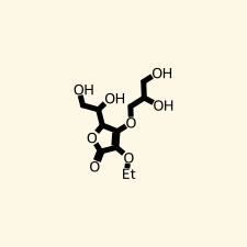 CCOC1=C(OCC(O)CO)C(C(O)CO)OC1=O